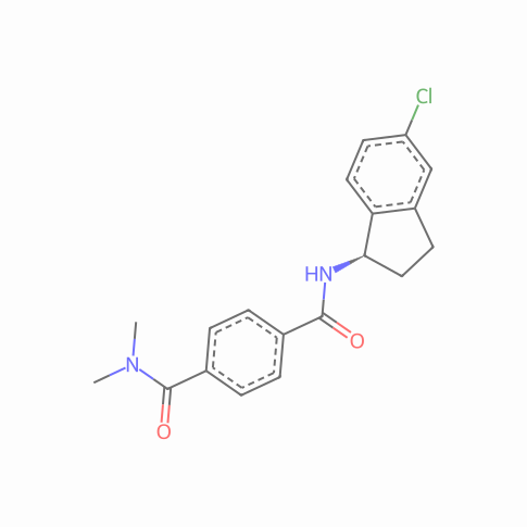 CN(C)C(=O)c1ccc(C(=O)N[C@@H]2CCc3cc(Cl)ccc32)cc1